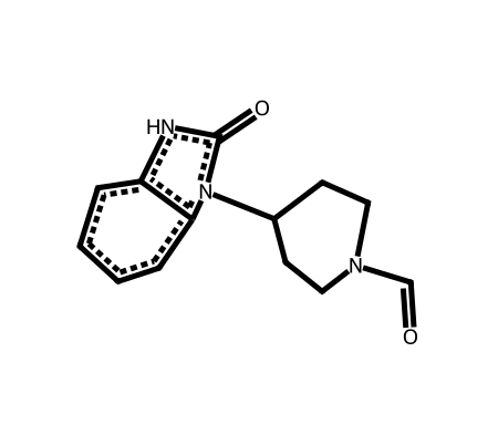 O=CN1CCC(n2c(=O)[nH]c3ccccc32)CC1